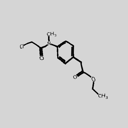 CCOC(=O)Cc1ccc(N(C)C(=O)CCl)cc1